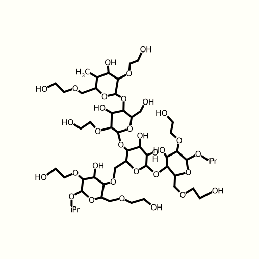 CC(C)OC1OC(COCCO)C(OCC2OC(OC3C(COCCO)OC(OC(C)C)C(OCCO)C3O)C(O)C(O)C2OC2OC(CO)C(OC3OC(COCCO)C(C)C(O)C3OCCO)C(O)C2OCCO)C(O)C1OCCO